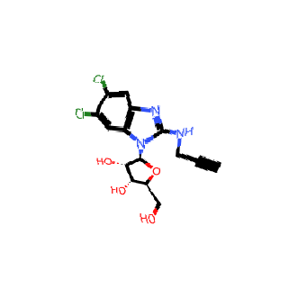 C#CCNc1nc2cc(Cl)c(Cl)cc2n1[C@H]1O[C@@H](CO)[C@H](O)[C@@H]1O